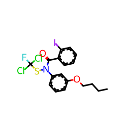 CCCCOc1cccc(N(SC(F)(Cl)Cl)C(=O)c2ccccc2I)c1